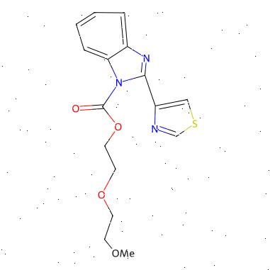 COCCOCCOC(=O)n1c(-c2cscn2)nc2ccccc21